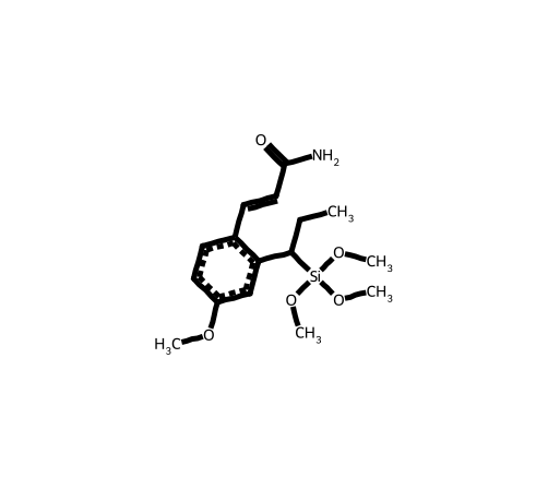 CCC(c1cc(OC)ccc1C=CC(N)=O)[Si](OC)(OC)OC